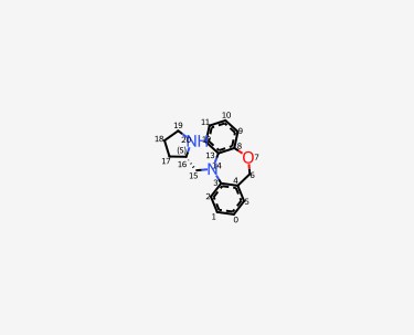 c1ccc2c(c1)COc1ccccc1N2C[C@@H]1CCCN1